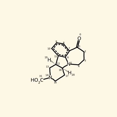 O=C1CCCN2c3c1cccc3[C@@H]1CN(C(=O)O)CC[C@@H]12